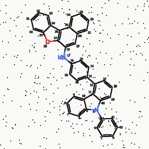 c1ccc(-n2c3ccccc3c3c(-c4ccc(Nc5cc6ccccc6c6c5oc5ccccc56)cc4)cccc32)cc1